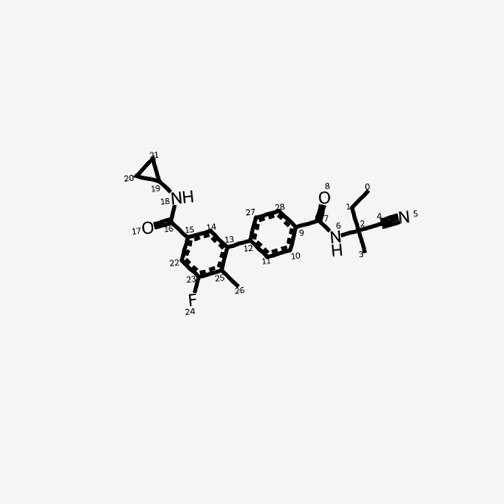 CCC(C)(C#N)NC(=O)c1ccc(-c2cc(C(=O)NC3CC3)cc(F)c2C)cc1